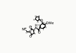 COc1ccc(C(=O)N[C@H]2CC(=O)N(CC#N)C2=O)cc1OC1CCCC1